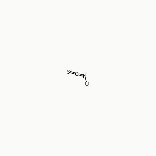 S=C=[N][U]